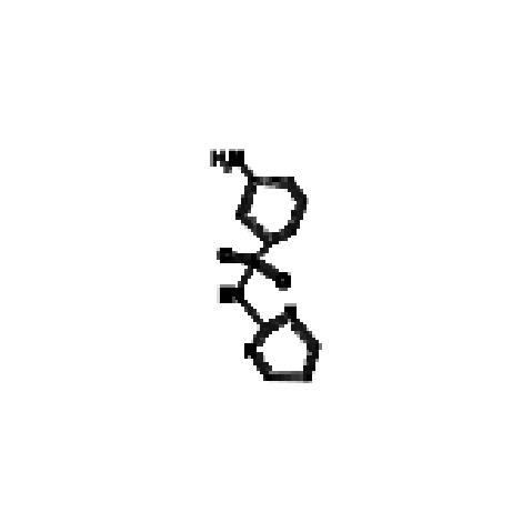 Nc1cccc(S(=O)(=O)Nc2ncccn2)c1